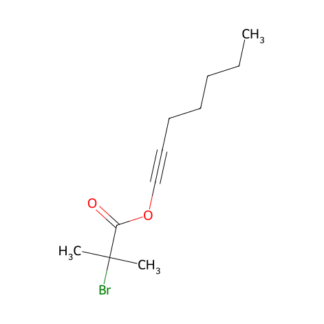 CCCCCC#COC(=O)C(C)(C)Br